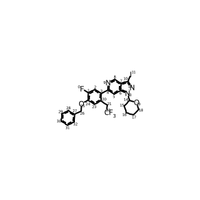 Fc1cc(-c2cc3c(cn2)c(I)nn3C2CCCCO2)c(CC(F)(F)F)cc1OCc1ccccc1